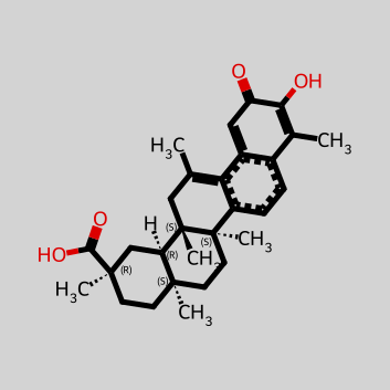 CC1=C(O)C(=O)C=c2c1ccc1c2=C(C)C[C@@]2(C)[C@@H]3C[C@](C)(C(=O)O)CC[C@]3(C)CC[C@]12C